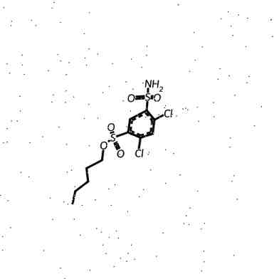 CCCCCOS(=O)(=O)c1cc(S(N)(=O)=O)c(Cl)cc1Cl